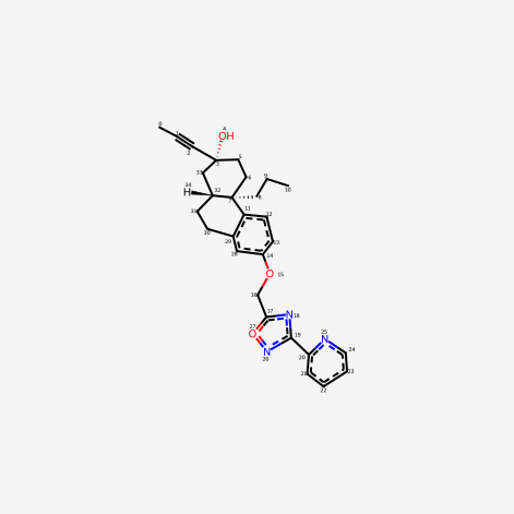 CC#C[C@@]1(O)CC[C@@]2(CCC)c3ccc(OCc4nc(-c5ccccn5)no4)cc3CC[C@@H]2C1